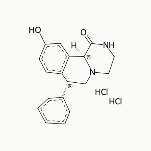 Cl.Cl.O=C1NCCN2C[C@H](c3ccccc3)c3ccc(O)cc3[C@@H]12